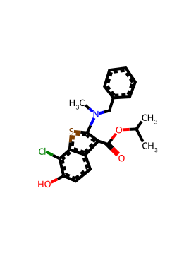 CC(C)OC(=O)c1c(N(C)Cc2ccccc2)sc2c(Cl)c(O)ccc12